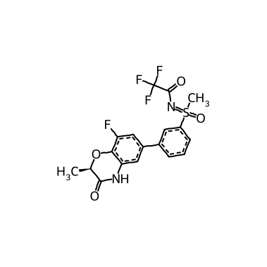 C[C@H]1Oc2c(F)cc(-c3cccc(S(C)(=O)=NC(=O)C(F)(F)F)c3)cc2NC1=O